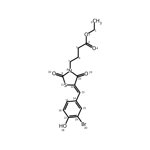 CCOC(=O)CCCN1C(=O)S/C(=C\c2ccc(O)c(Br)c2)C1=O